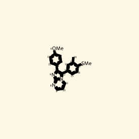 COc1ccc(-c2nc3ncccn3c2-c2ccc(SC)c(C)c2)cc1